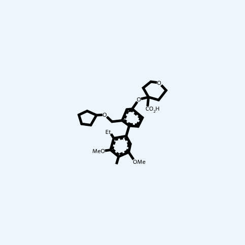 CCc1c(-c2ccc(OC3(C(=O)O)CCOCC3)cc2COC2CCCC2)cc(OC)c(C)c1OC